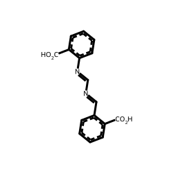 O=C(O)c1ccccc1/C=N/C=N/c1ccccc1C(=O)O